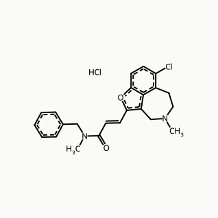 CN1CCc2c(Cl)ccc3oc(/C=C/C(=O)N(C)Cc4ccccc4)c(c23)C1.Cl